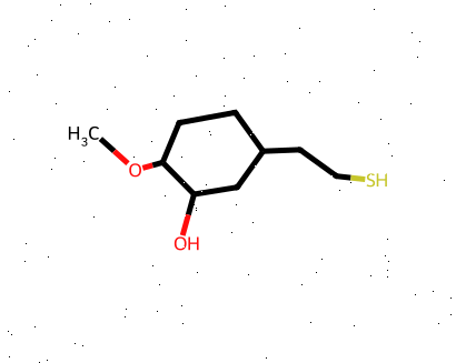 COC1CCC(CCS)CC1O